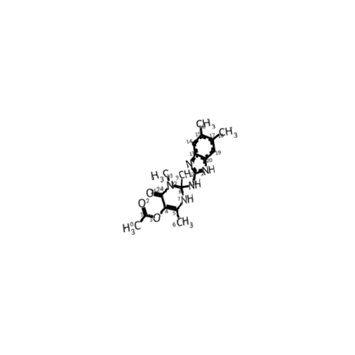 CC(=O)OC1=C(C)NC(C)(Nc2nc3cc(C)c(C)cc3[nH]2)N(C)C1=O